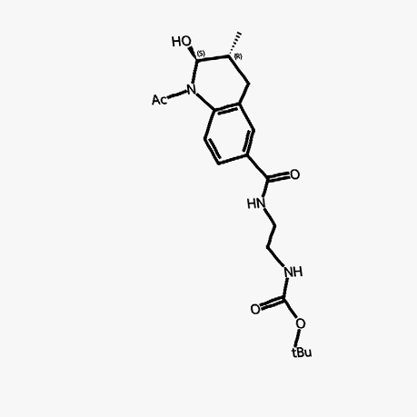 CC(=O)N1c2ccc(C(=O)NCCNC(=O)OC(C)(C)C)cc2C[C@@H](C)[C@@H]1O